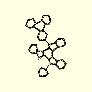 c1ccc(-n2c3ccccc3c3c4c5ccccc5n(-c5ccc6c7ccccc7c7ccccc7c6c5)c4c4c5ccccc5oc4c32)cc1